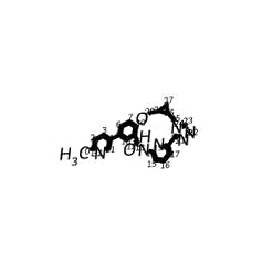 Cc1ccc(-c2ccc3c(c2)C(=O)Nc2cccc(n2)-c2nncn2CC2CC2CO3)cn1